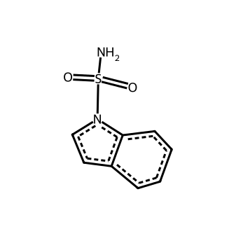 NS(=O)(=O)n1ccc2ccccc21